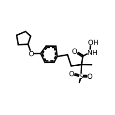 CC(CCc1ccc(OC2CCCC2)cc1)(C(=O)NO)S(C)(=O)=O